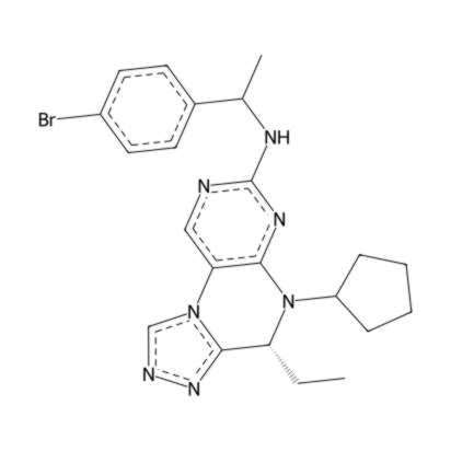 CC[C@@H]1c2nncn2-c2cnc(NC(C)c3ccc(Br)cc3)nc2N1C1CCCC1